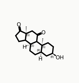 C[C@]12CC(=O)C3[C@@H](CC[C@@H]4C[C@H](O)CC[C@]34C)C1CCC2=O